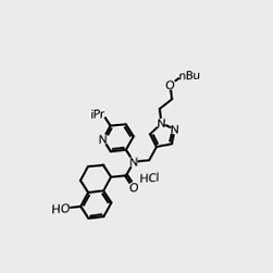 CCCCOCCn1cc(CN(C(=O)C2CCCc3c(O)cccc32)c2ccc(C(C)C)nc2)cn1.Cl